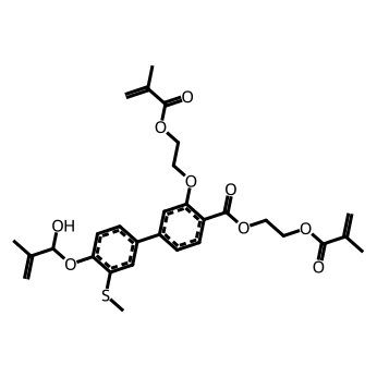 C=C(C)C(=O)OCCOC(=O)c1ccc(-c2ccc(OC(O)C(=C)C)c(SC)c2)cc1OCCOC(=O)C(=C)C